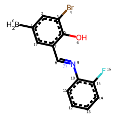 Bc1cc(Br)c(O)c(/C=N/c2ccccc2F)c1